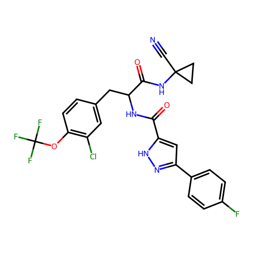 N#CC1(NC(=O)C(Cc2ccc(OC(F)(F)F)c(Cl)c2)NC(=O)c2cc(-c3ccc(F)cc3)n[nH]2)CC1